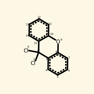 ClC1(Cl)c2ccccc2Oc2ccccc21